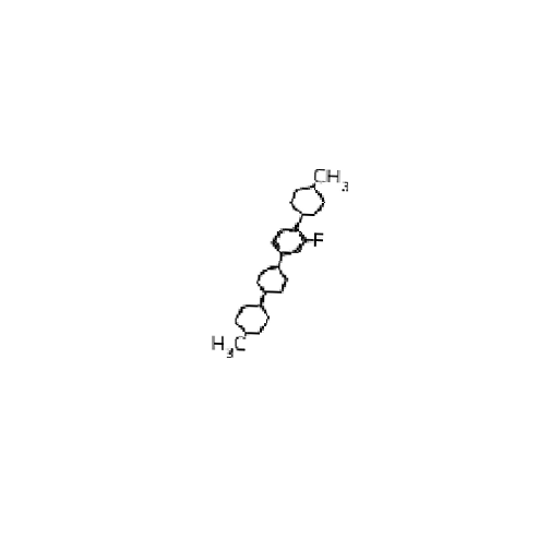 CC1CCC(c2ccc(C3CCC(C4CCC(C)CC4)CC3)cc2F)CC1